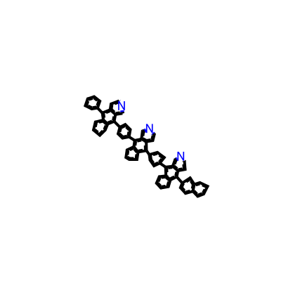 c1ccc(-c2c3ccccc3c(-c3ccc(-c4c5ccccc5c(-c5ccc(-c6c7ccccc7c(-c7ccc8ccccc8c7)c7ccncc67)cc5)c5ccncc45)cc3)c3cnccc23)cc1